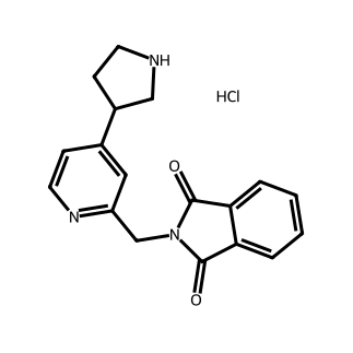 Cl.O=C1c2ccccc2C(=O)N1Cc1cc(C2CCNC2)ccn1